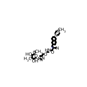 CO[C@H]1O[C@H](Cn2cc(COCCNC(=O)/C(C#N)=C/c3ccc4cc(N5CCN(C)CC5)ccc4c3)nn2)[C@@H](O)[C@H](C)[C@H]1O